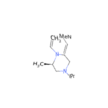 C=CN1/C(=C\NC)CN(C(C)C)C[C@H]1C